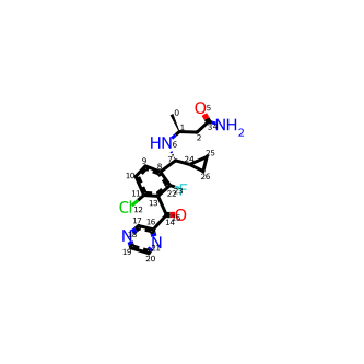 C[C@@H](CC(N)=O)N[C@@H](c1ccc(Cl)c(C(=O)c2cnccn2)c1F)C1CC1